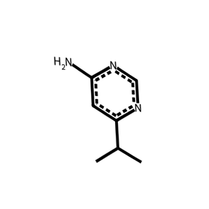 CC(C)c1cc(N)ncn1